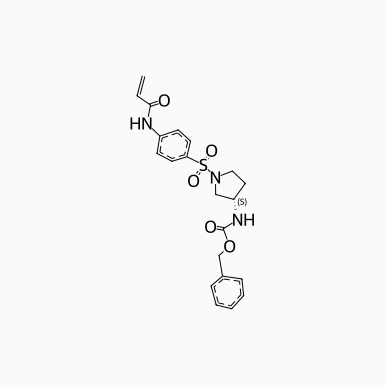 C=CC(=O)Nc1ccc(S(=O)(=O)N2CC[C@H](NC(=O)OCc3ccccc3)C2)cc1